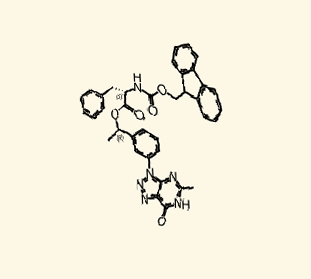 Cc1nc2c(nnn2-c2cccc([C@@H](C)OC(=O)[C@H](Cc3ccccc3)NC(=O)OCC3c4ccccc4-c4ccccc43)c2)c(=O)[nH]1